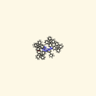 c1ccc(-c2cc(-n3c4ccc([Si](c5ccccc5)(c5ccccc5)c5ccccc5)cc4c4cc([Si](c5ccccc5)(c5ccccc5)c5ccccc5)ccc43)nc(-n3c4ccc([Si](c5ccccc5)(c5ccccc5)c5ccccc5)cc4n4c5cc([Si](c6ccccc6)(c6ccccc6)c6ccccc6)ccc5nc34)c2)cc1